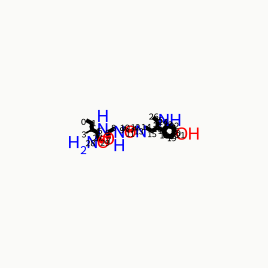 CC[C@H](C)[C@H](NC(=O)CNCOC/N=C/CC1c2ccc(O)cc2NC1C)C(N)=O